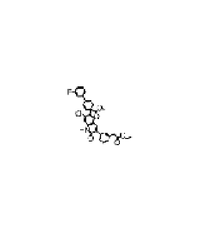 CCOC(=O)Cc1cccc(-c2cc3cc(C4(C(=O)OC)C=CC(c5cccc(F)c5)=CC4)c(Cl)cc3[nH]c2=O)c1